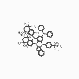 Cc1cc2c(cc1N1c3cc(N(c4ccccc4)c4ccccc4)cc4c3B(c3ccc5c(c31)C(C)(C)CCC5(C)C)c1sc3ccccc3c1N4c1ccc(C(C)(C)C)cc1)C(C)(C)CCC2(C)C